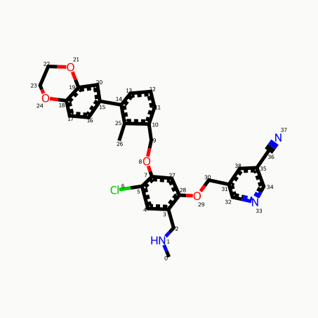 CNCc1cc(Cl)c(OCc2cccc(-c3ccc4c(c3)OCCO4)c2C)cc1OCc1cncc(C#N)c1